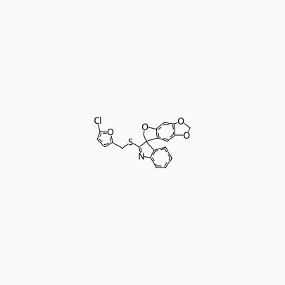 Clc1ccc(CSC2=Nc3ccccc3C23COc2cc4c(cc23)OCO4)o1